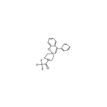 O=C(N1CCC2(C=C(c3ccccc3)c3ccccc3O2)CC1)C(F)(F)F